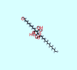 CCCCCCCCCCCCCC(=O)OC(C(=O)O)C(C(=O)O)C(=O)CCCCCCCCC=O